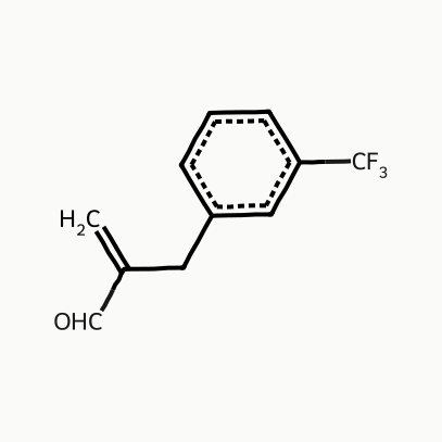 C=C(C=O)Cc1cccc(C(F)(F)F)c1